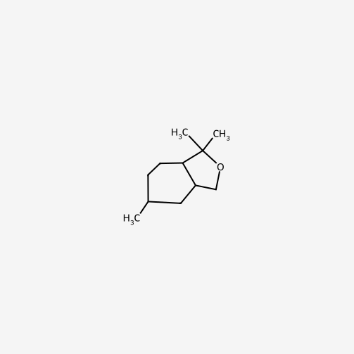 CC1CCC2C(COC2(C)C)C1